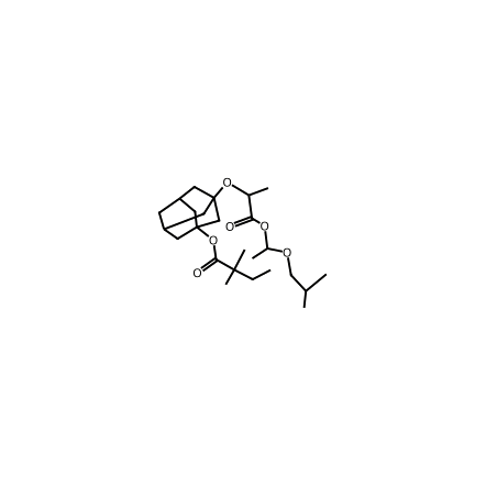 CCC(C)(C)C(=O)OC12CC3CC(C1)CC(OC(C)C(=O)OC(C)OCC(C)C)(C3)C2